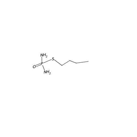 CCCCSP(N)(N)=O